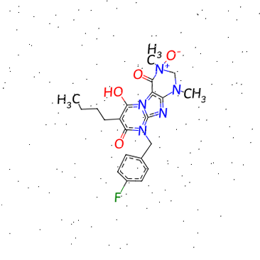 CCCCc1c(O)n2c3c(nc2n(Cc2ccc(F)cc2)c1=O)N(C)C[N+](C)([O-])C3=O